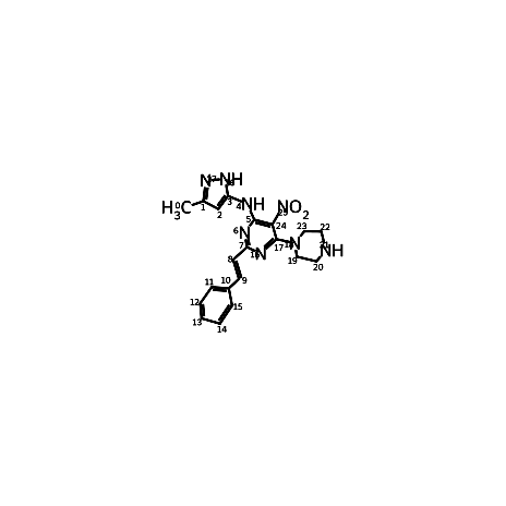 Cc1cc(Nc2nc(/C=C/c3ccccc3)nc(N3CCNCC3)c2[N+](=O)[O-])[nH]n1